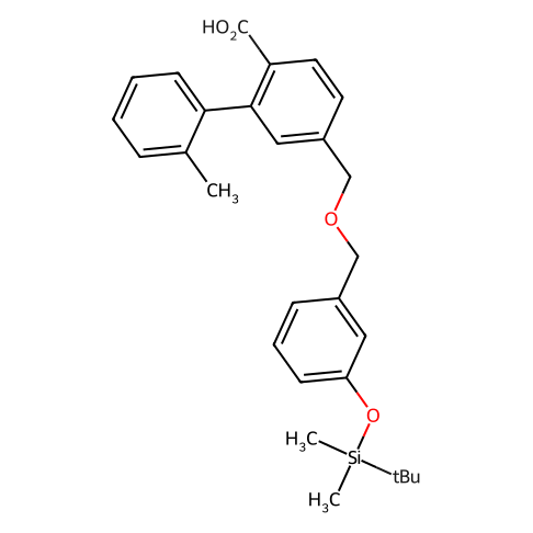 Cc1ccccc1-c1cc(COCc2cccc(O[Si](C)(C)C(C)(C)C)c2)ccc1C(=O)O